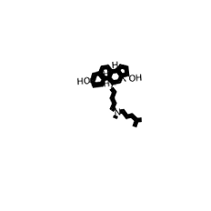 CC(C)CCCN(C)CCCCC[C@H]1C[C@]2(C)[C@@H](O)CC[C@H]2[C@@H]2CCc3cc(O)ccc3[C@@H]12